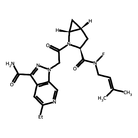 CCc1cc2c(C(N)=O)nn(CC(=O)N3[C@@H]4C[C@@H]4C[C@H]3C(=O)N(F)CC=C(C)C)c2cn1